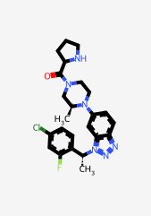 C[C@H](c1ccc(Cl)cc1F)n1nnc2ccc(N3CCN(C(=O)C4CCCN4)C[C@@H]3C)cc21